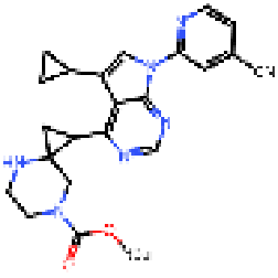 CC(C)(C)OC(=O)N1CCNC2(CC2c2ncnc3c2c(C2CC2)cn3-c2cc(C#N)ccn2)C1